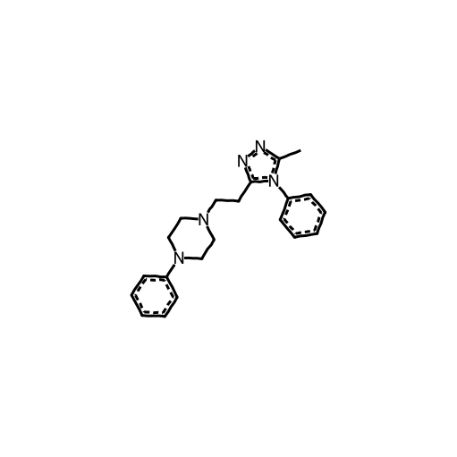 Cc1nnc(CCN2CCN(c3ccccc3)CC2)n1-c1ccccc1